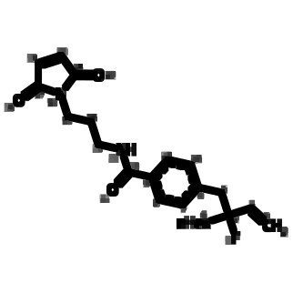 C=CC(F)(CCCCCC)Cc1ccc(C(=O)NCCCN2C(=O)C=CC2=O)cc1